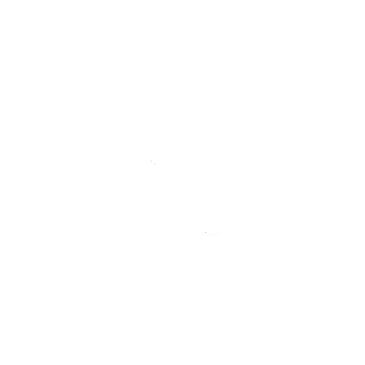 CNc1ccc2c(c1)oc1cccc(N)c12